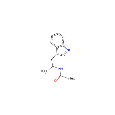 CCCCCCC(=O)NC(Cc1c[nH]c2ccccc12)C(=O)O